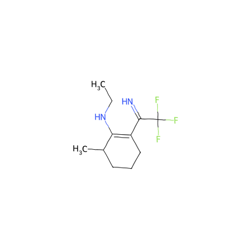 CCNC1=C(C(=N)C(F)(F)F)CCCC1C